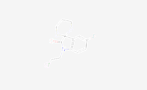 O=C1N(CCCl)c2ccc(F)cc2C12SCCCS2